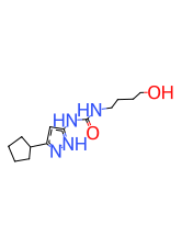 O=C(NCCCCO)Nc1cc(C2CCCC2)n[nH]1